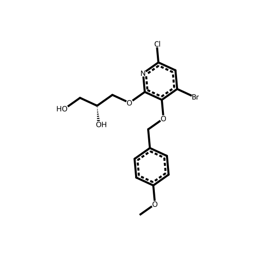 COc1ccc(COc2c(Br)cc(Cl)nc2OC[C@H](O)CO)cc1